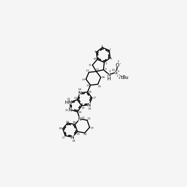 CC(C)(C)[S@@+]([O-])NC1c2ccccc2CC12CCC(c1cnc3c(N4CCCc5ncccc54)n[nH]c3n1)CC2